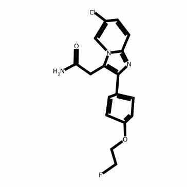 NC(=O)Cc1c(-c2ccc(OCCF)cc2)nc2ccc(Cl)cn12